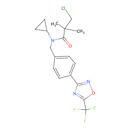 CC(C)(CCl)C(=O)N(Cc1ccc(-c2noc(C(F)(F)F)n2)cc1)C1CC1